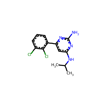 CC(C)Nc1cc(-c2cccc(Cl)c2Cl)nc(N)n1